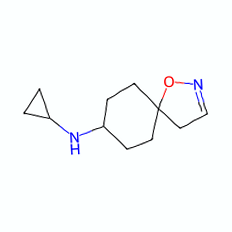 C1=NOC2(C1)CCC(NC1CC1)CC2